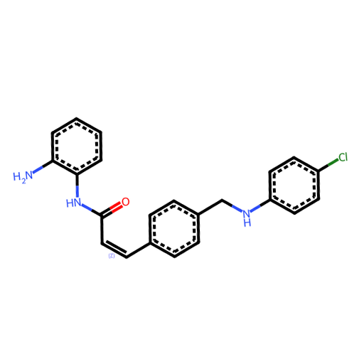 Nc1ccccc1NC(=O)/C=C\c1ccc(CNc2ccc(Cl)cc2)cc1